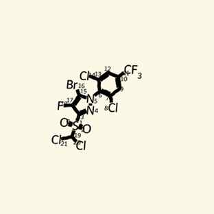 O=S(=O)(c1nn(-c2c(Cl)cc(C(F)(F)F)cc2Cl)c(Br)c1F)C(Cl)Cl